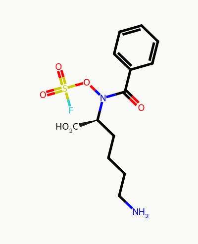 NCCCC[C@@H](C(=O)O)N(OS(=O)(=O)F)C(=O)c1ccccc1